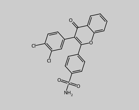 NS(=O)(=O)c1ccc(-c2oc3ccccc3c(=O)c2-c2ccc(Cl)c(Cl)c2)cc1